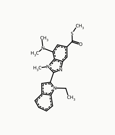 CCn1c(-c2nc3cc(C(=O)SC)cc(N(C)C)c3n2C)cc2ccccc21